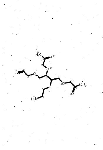 CC(=O)COCC(OCCN)C(COCC=O)OCC(C)=O